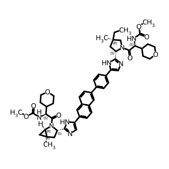 CC[C@]1(C)C[C@@H](c2ncc(-c3ccc(-c4ccc5cc(-c6cnc([C@@H]7C[C@@]8(C)C[C@H]8N7C(=O)[C@@H](NC(=O)OC)C7CCOCC7)[nH]6)ccc5c4)cc3)[nH]2)N(C(=O)[C@@H](NC(=O)OC)C2CCOCC2)C1